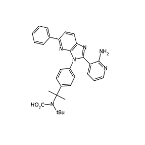 CC(C)(C)N(C(=O)O)C(C)(C)c1ccc(-n2c(-c3cccnc3N)nc3ccc(-c4ccccc4)nc32)cc1